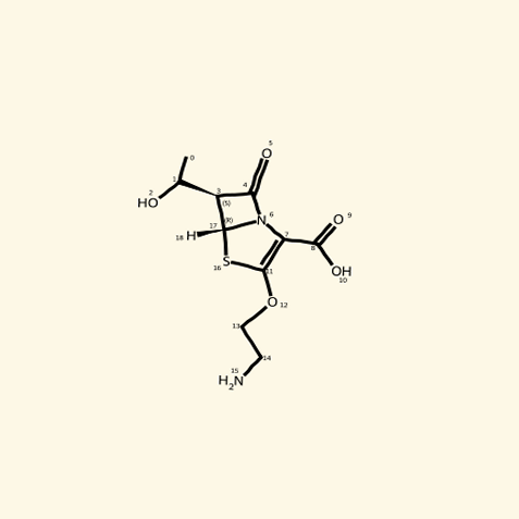 CC(O)[C@H]1C(=O)N2C(C(=O)O)=C(OCCN)S[C@H]12